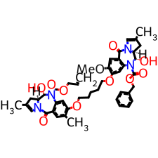 C=CCOC(=O)N1c2cc(OCCCCCOc3cc4c(cc3OC)C(=O)N3C=C(C)C[C@H]3[C@H](O)N4C(=O)OCc3ccccc3)c(C)cc2C(=O)N2C=C(C)C[C@H]2[C@@H]1O